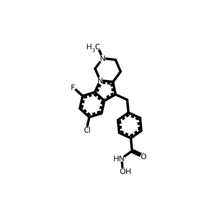 CN1CCc2c(Cc3ccc(C(=O)NO)cc3)c3cc(Cl)cc(F)c3n2C1